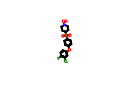 O=S(=O)(c1ccc(Oc2ccc(F)c(Cl)c2)cc1)C1CCN(O)CC1